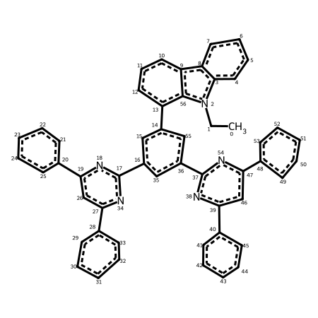 CCn1c2ccccc2c2cccc(-c3cc(-c4nc(-c5ccccc5)cc(-c5ccccc5)n4)cc(-c4nc(-c5ccccc5)cc(-c5ccccc5)n4)c3)c21